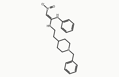 O=[N+]([O-])C=C(NCCC1CCN(Cc2ccccc2)CC1)Nc1ccccc1